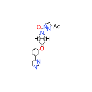 CC(=O)c1ccn(C(=O)N2C[C@H]3C[C@H](Oc4cccc(-c5ccncn5)c4)C[C@H]3C2)n1